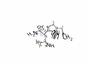 C=Cc1ccc(/C(C(C)=N)=C(\C)N)[nH]1